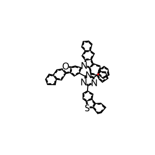 c1ccc(-c2nc(-c3ccc4sc5ccccc5c4c3)nc(-c3cc4c(cc3-n3c5cc6ccccc6cc5c5cc6ccccc6cc53)oc3cc5ccccc5cc34)n2)cc1